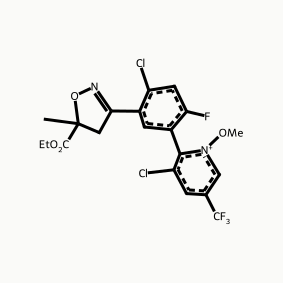 CCOC(=O)C1(C)CC(c2cc(-c3c(Cl)cc(C(F)(F)F)c[n+]3OC)c(F)cc2Cl)=NO1